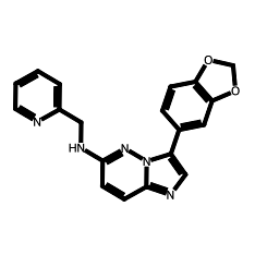 c1ccc(CNc2ccc3ncc(-c4ccc5c(c4)OCO5)n3n2)nc1